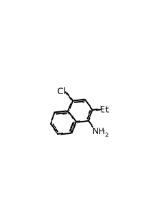 CCc1cc(Cl)c2ccccc2c1N